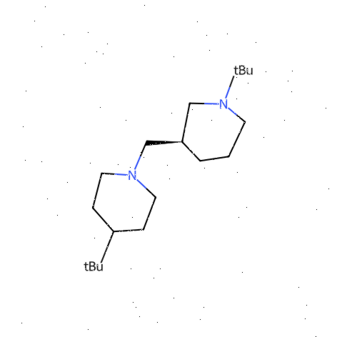 CC(C)(C)C1CCN(C[C@@H]2CCCN(C(C)(C)C)C2)CC1